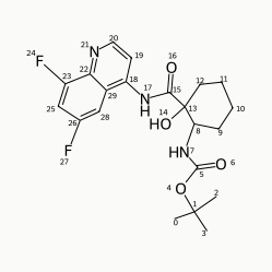 CC(C)(C)OC(=O)NC1CCCCC1(O)C(=O)Nc1ccnc2c(F)cc(F)cc12